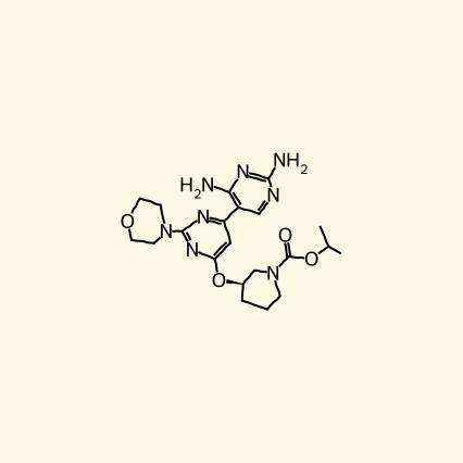 CC(C)OC(=O)N1CCC[C@@H](Oc2cc(-c3cnc(N)nc3N)nc(N3CCOCC3)n2)C1